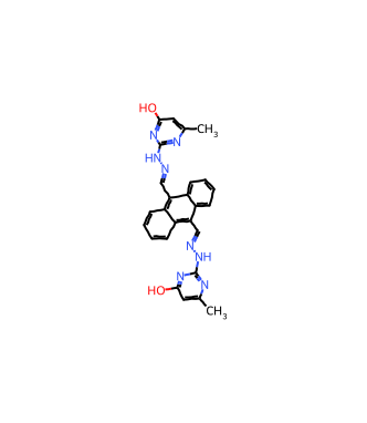 Cc1cc(O)nc(NN=Cc2c3ccccc3c(C=NNc3nc(C)cc(O)n3)c3ccccc23)n1